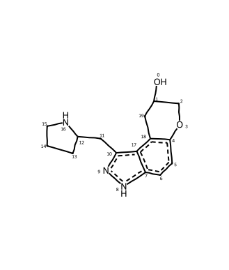 OC1COc2ccc3[nH]nc(CC4CCCN4)c3c2C1